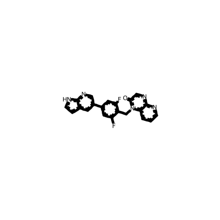 O=c1cnc2ncccc2n1Cc1c(F)cc(-c2cnc3[nH]ccc3c2)cc1F